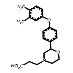 Cc1ccc(Oc2ccc(C3CN(CCC(=O)O)CCO3)cc2)cc1C